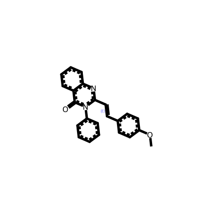 COc1ccc(/C=C/c2nc3ccccc3c(=O)n2-c2ccccc2)cc1